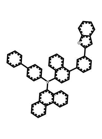 c1ccc(-c2ccc(N(c3ccc(-c4cccc(-c5cc6ccccc6o5)c4)c4ccccc34)c3cc4ccccc4c4ccccc34)cc2)cc1